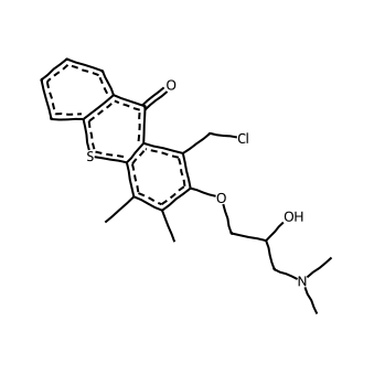 Cc1c(OCC(O)CN(C)C)c(CCl)c2c(=O)c3ccccc3sc2c1C